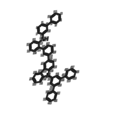 c1ccc(-c2cccc(Nc3ccccc3-c3cccc(-c4ccc5c(c4)c4ccccc4n5-c4cc(-c5ccccc5)cc(-c5ccccc5)c4)c3)c2)cc1